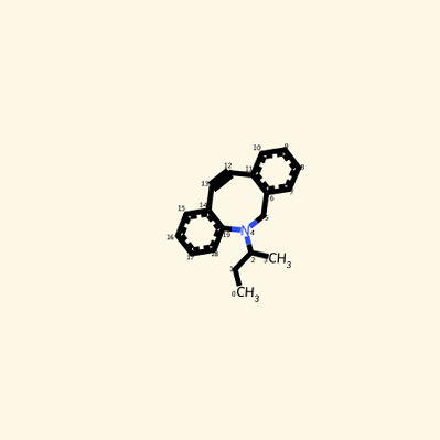 CCC(C)N1Cc2ccccc2C#Cc2ccccc21